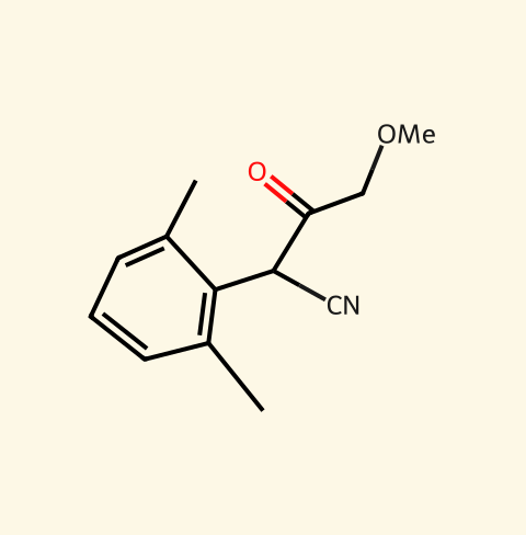 COCC(=O)C(C#N)c1c(C)cccc1C